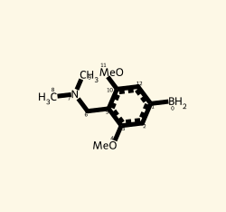 Bc1cc(OC)c(CN(C)C)c(OC)c1